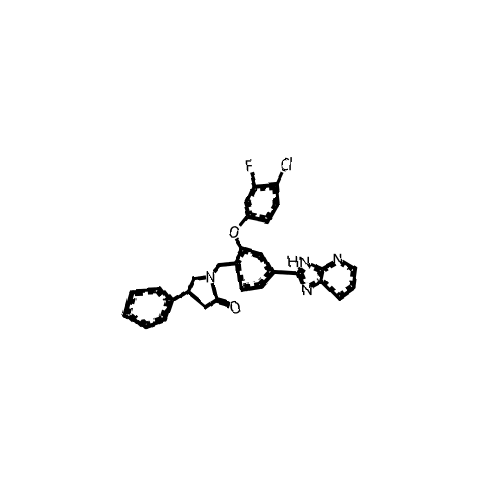 O=C1CC(c2ccccc2)CN1Cc1ccc(-c2nc3cccnc3[nH]2)cc1Oc1ccc(Cl)c(F)c1